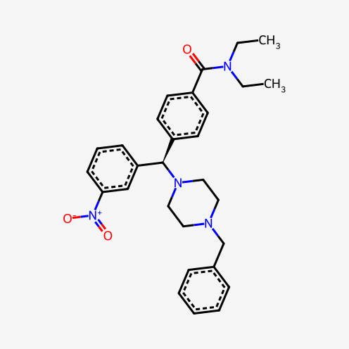 CCN(CC)C(=O)c1ccc([C@H](c2cccc([N+](=O)[O-])c2)N2CCN(Cc3ccccc3)CC2)cc1